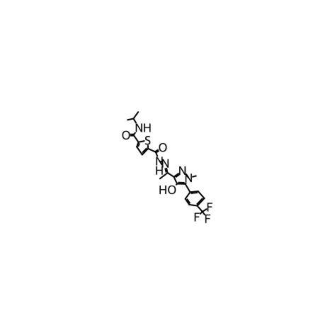 C/C(=N\NC(=O)c1ccc(C(=O)NC(C)C)s1)c1nn(C)c(-c2ccc(C(F)(F)F)cc2)c1O